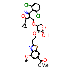 COC(=O)c1cc(OC(C)C)c2nc(CCO[C@@H]3C(OCc4c(C5=C(Cl)CCC=C5Cl)noc4C4CC4)CO[C@@H]3O)sc2c1